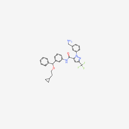 NCc1cccc(-n2nc(C(F)(F)F)cc2C(=O)Nc2cccc(C(OCCC3CC3)c3ccccc3)c2)c1